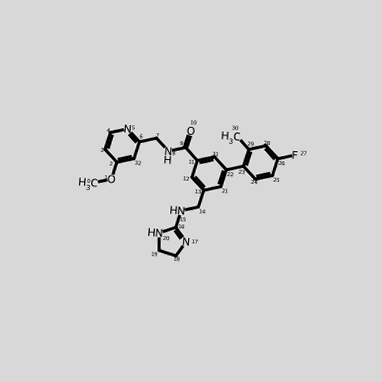 COc1ccnc(CNC(=O)c2cc(CNC3=NCCN3)cc(-c3ccc(F)cc3C)c2)c1